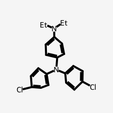 CCN(CC)c1ccc(N(c2ccc(Cl)cc2)c2ccc(Cl)cc2)cc1